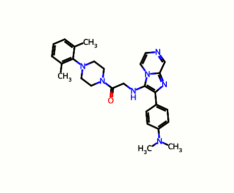 Cc1cccc(C)c1N1CCN(C(=O)CNc2c(-c3ccc(N(C)C)cc3)nc3cnccn23)CC1